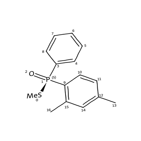 CS[P@@](=O)(c1ccccc1)c1ccc(C)cc1C